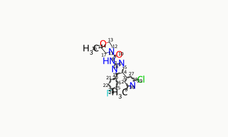 Cc1cc(-c2cnc(NC(=O)N3CCOC(C)C3)nc2-c2ccc(F)cc2)cc(Cl)n1